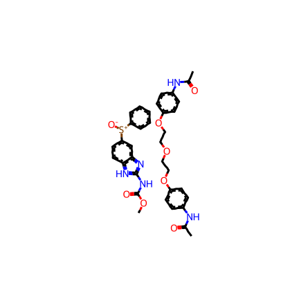 CC(=O)Nc1ccc(OCCOCCOc2ccc(NC(C)=O)cc2)cc1.COC(=O)Nc1nc2cc([S+]([O-])c3ccccc3)ccc2[nH]1